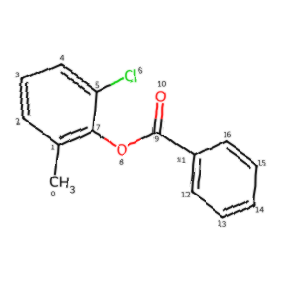 Cc1cccc(Cl)c1OC(=O)c1ccccc1